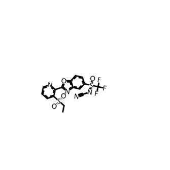 CCS(=O)(=O)c1cccnc1-c1nc2cc(S(=O)(=NC#N)C(F)(F)F)ccc2o1